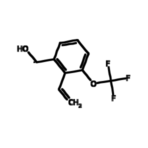 C=Cc1c([CH]O)cccc1OC(F)(F)F